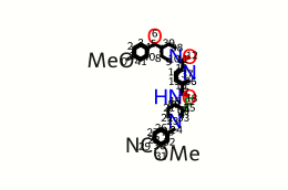 COc1ccc(C(=O)C2CCN(C(=O)c3ccc(C(=O)N[C@@H]4CCN(Cc5ccc(C#N)c(OC)c5)C[C@H]4F)cn3)CC2)cc1